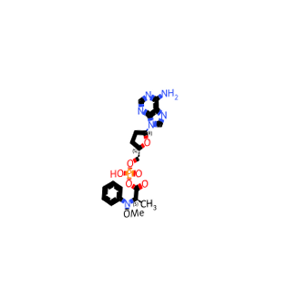 CON(c1ccccc1)[C@@H](C)C(=O)OP(=O)(O)OC[C@@H]1CC[C@H](n2cnc3c(N)ncnc32)O1